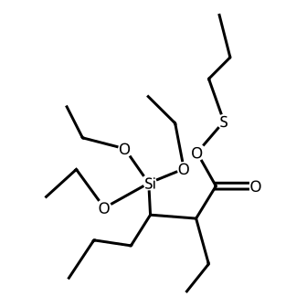 CCCSOC(=O)C(CC)C(CCC)[Si](OCC)(OCC)OCC